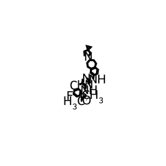 CP(C)(=O)c1cc(F)ccc1Nc1nc(Nc2ccc3c(c2)CC[C@H](N2CCC4(CC4)C2)CC3)ncc1Cl